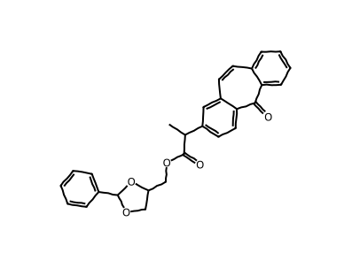 CC(C(=O)OCC1COC(c2ccccc2)O1)c1ccc2c(=O)c3ccccc3ccc2c1